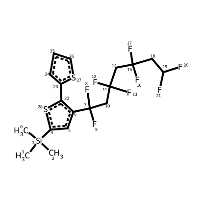 C[Si](C)(C)c1cc(C(F)(F)CC(F)(F)CC(F)(F)CC(F)F)c(-c2cccs2)s1